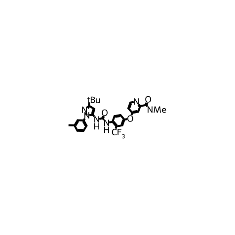 CNC(=O)c1cc(Oc2ccc(NC(=O)Nc3cc(C(C)(C)C)nn3-c3cccc(C)c3)c(C(F)(F)F)c2)ccn1